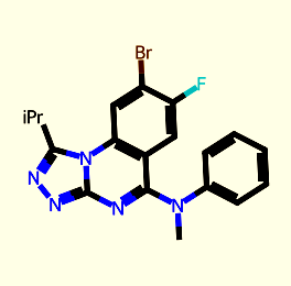 CC(C)c1nnc2nc(N(C)c3ccccc3)c3cc(F)c(Br)cc3n12